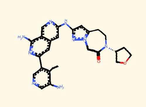 Cc1c(N)cncc1-c1cc2cc(Nc3cc4n(n3)CC(=O)N([C@@H]3CCOC3)CC4)ncc2c(N)n1